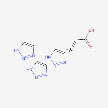 C=CC(=O)O.c1c[nH]nn1.c1c[nH]nn1.c1c[nH]nn1